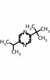 CC(C)c1cnc(C(C)(C)C)cn1